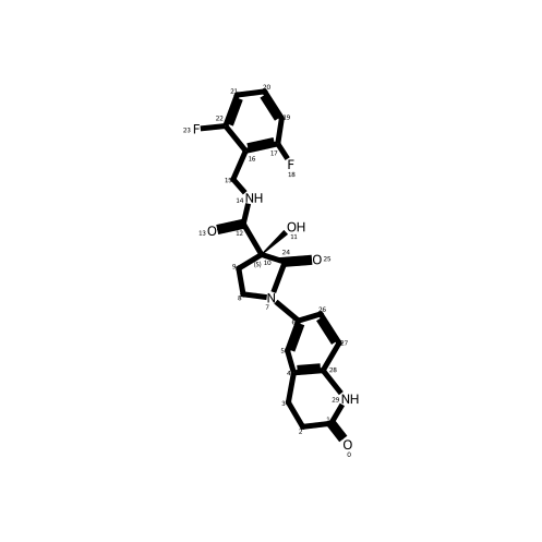 O=C1CCc2cc(N3CC[C@](O)(C(=O)NCc4c(F)cccc4F)C3=O)ccc2N1